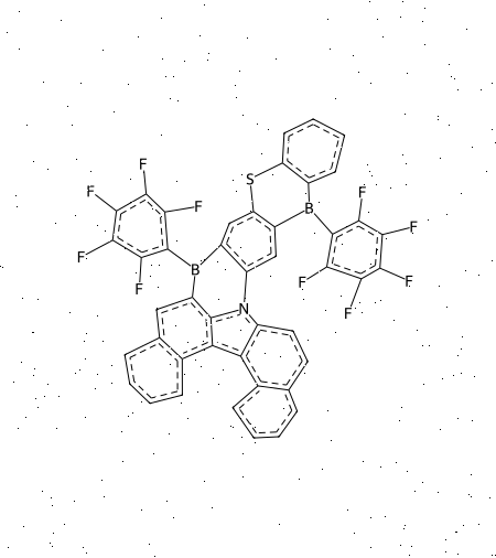 Fc1c(F)c(F)c(B2c3ccccc3Sc3cc4c(cc32)-n2c3ccc5ccccc5c3c3c5ccccc5cc(c32)B4c2c(F)c(F)c(F)c(F)c2F)c(F)c1F